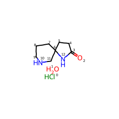 Cl.O.O=C1CCC2(CCCNC2)N1